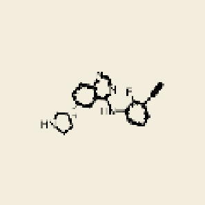 C#Cc1cccc(Nc2ncnc3ccc([C@@H]4CCNC4)cc23)c1F